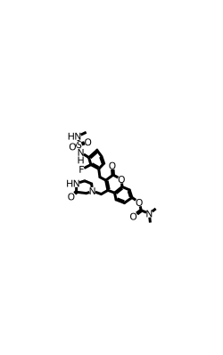 CNS(=O)(=O)Nc1cccc(Cc2c(CN3CCNC(=O)C3)c3ccc(OC(=O)N(C)C)cc3oc2=O)c1F